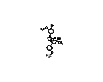 COc1cccc(C(CC(C)(C)O)N2CCN(c3ccc(Br)c(OC)c3)C2=O)c1